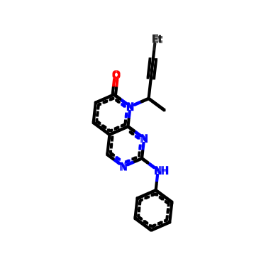 CCC#CC(C)n1c(=O)ccc2cnc(Nc3ccccc3)nc21